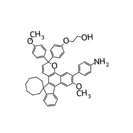 COc1ccc(C2(c3ccc(OCCO)cc3)C=Cc3c4c(c5cc(OC)c(-c6ccc(N)cc6)cc5c3O2)-c2ccccc2C42CCCCCCC2)cc1